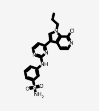 CCCn1cc(-c2ccnc(Nc3cccc(S(N)(=O)=O)c3)n2)c2ccnc(Cl)c21